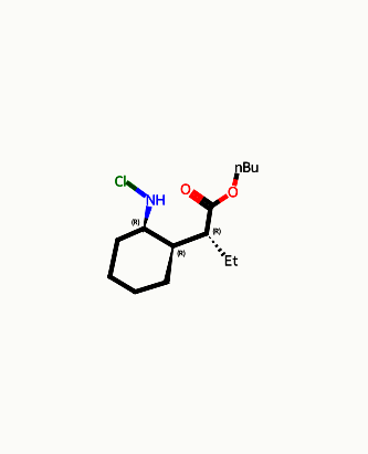 CCCCOC(=O)[C@H](CC)[C@H]1CCCC[C@H]1NCl